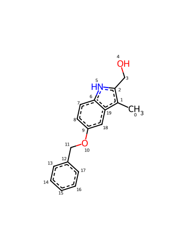 Cc1c(CO)[nH]c2ccc(OCc3ccccc3)cc12